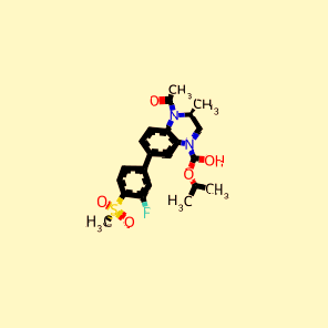 CC(=O)N1c2ccc(-c3ccc(S(C)(=O)=O)c(F)c3)cc2N(C(O)OC(C)C)C[C@@H]1C